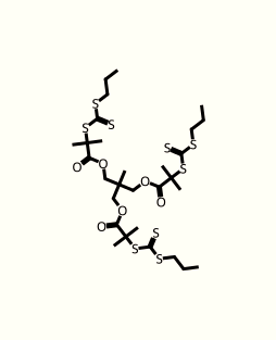 CCCSC(=S)SC(C)(C)C(=O)OCC(C)(COC(=O)C(C)(C)SC(=S)SCCC)COC(=O)C(C)(C)SC(=S)SCCC